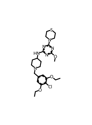 CCOc1cc(CN2CCC(Nc3nc(OC)nc(N4CCSCC4)n3)CC2)cc(OCC)c1Cl